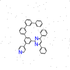 c1ccc(-c2cccc(-c3cccc(-c4cc(-c5ccncc5)cc(-c5nc(-c6ccccc6)cc(-c6ccccc6)n5)c4)c3)c2)cc1